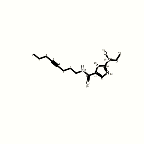 CCCC#CCCCNC(=O)c1cnc([S+]([O-])CC)s1